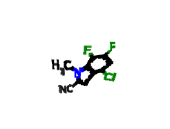 Cn1c(C#N)cc2c(Cl)cc(F)c(F)c21